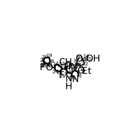 CCOc1cnc2[nH]cc(C(=O)c3c(C)cc(Oc4ccccc4F)cc3F)c2c1N[C@@H]1CC[C@@H](CO)OC1